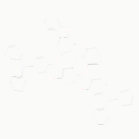 c1ccc(N(c2ccccc2)c2ccc3c(c2)Oc2cc4c5c6c2B3c2cccc3c2N6c2c(cc6c(oc7ccccc76)c2O3)B5c2ccc(N(c3ccccc3)c3ccccc3)cc2O4)cc1